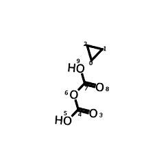 C1CC1.O=C(O)OC(=O)O